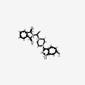 CC(N1CCN(c2n[nH]c3cc(F)ccc23)CC1)N1C(=O)c2ccccc2C1=O